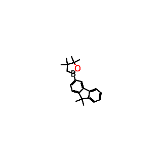 CC1(C)c2ccccc2-c2cc(B3CC(C)(C)C(C)(C)O3)ccc21